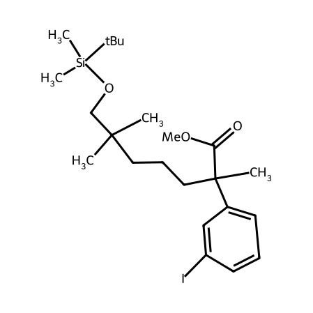 COC(=O)C(C)(CCCC(C)(C)CO[Si](C)(C)C(C)(C)C)c1cccc(I)c1